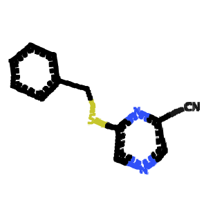 N#Cc1cncc(SCc2ccccc2)n1